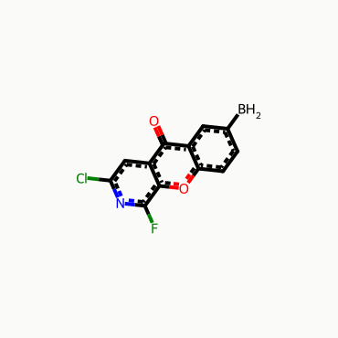 Bc1ccc2oc3c(F)nc(Cl)cc3c(=O)c2c1